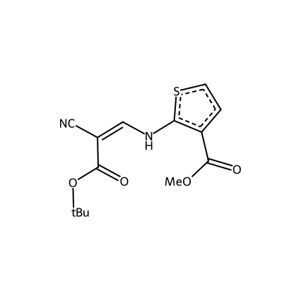 COC(=O)c1ccsc1N/C=C(/C#N)C(=O)OC(C)(C)C